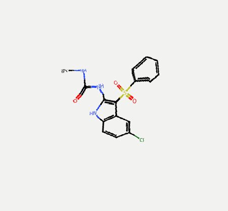 CC(C)NC(=O)Nc1[nH]c2ccc(Cl)cc2c1S(=O)(=O)c1ccccc1